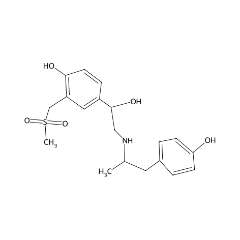 CC(Cc1ccc(O)cc1)NCC(O)c1ccc(O)c(CS(C)(=O)=O)c1